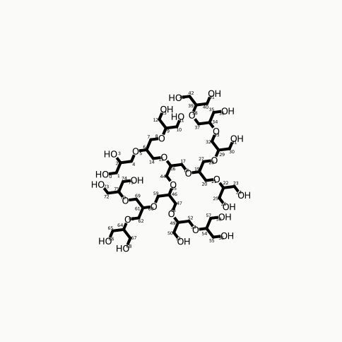 OCC(O)COC(COC(CO)CO)COC(COC(COC(CO)CO)COC(CO)COC(CO)COC(CO)CO)COC(COC(CO)COC(CO)CO)COC(COC(CO)CO)COC(CO)CO